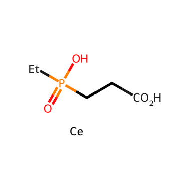 CCP(=O)(O)CCC(=O)O.[Ce]